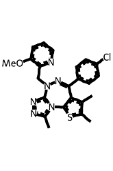 COc1cccnc1CN1N=C(c2ccc(Cl)cc2)c2c(sc(C)c2C)-n2c(C)nnc21